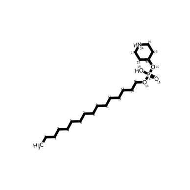 CCCCCCCCCCCCCCCCOP(=O)(O)OC1CCNCC1